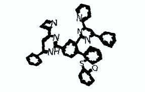 C1=NC(C2=CC(c3ccccc3)NC(c3ccc(-c4cccc5c4Sc4ccccc4O5)c(-c4nc(-c5ccccc5)cc(-c5ccccn5)n4)c3)=N2)=C1